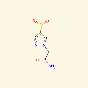 NC(=O)Cn1cc([SH](=O)=O)cn1